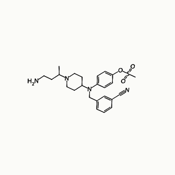 CC(CCN)N1CCC(N(Cc2cccc(C#N)c2)c2ccc(OS(C)(=O)=O)cc2)CC1